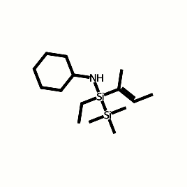 C/C=C(\C)[Si](CC)(NC1CCCCC1)[Si](C)(C)C